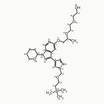 C[C@@H](COc1cc2c(-c3cnn(COCC[Si](C)(C)C)c3)nn(C3CCCCO3)c2cn1)OCCOCCO